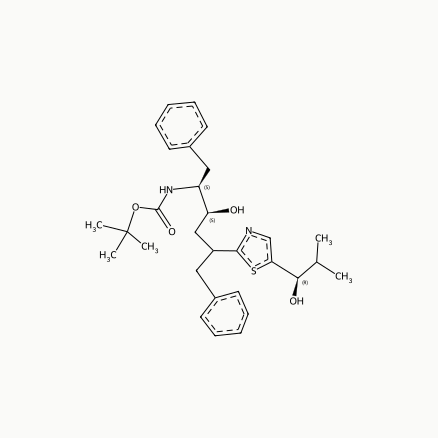 CC(C)[C@@H](O)c1cnc(C(Cc2ccccc2)C[C@H](O)[C@H](Cc2ccccc2)NC(=O)OC(C)(C)C)s1